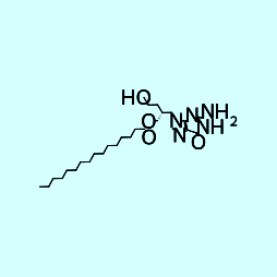 CCCCCCCCCCCCCCCC(=O)OC[C@H](CCO)Cn1cnc2c(=O)[nH]c(N)nc21